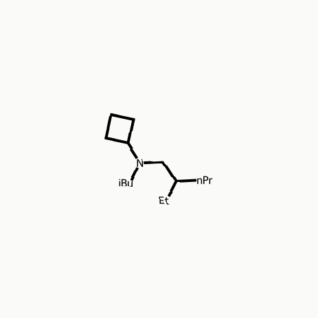 CCCC(CC)CN(C(C)CC)C1CCC1